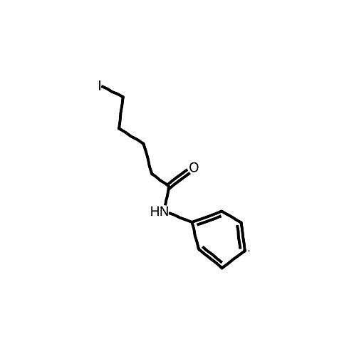 O=C(CCCCI)Nc1cc[c]cc1